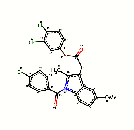 COc1ccc2c(c1)c(CC(=O)Sc1ccc(Cl)c(Cl)c1)c(C)n2C(=O)c1ccc(Cl)cc1